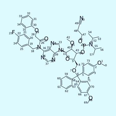 COc1ccc(C(OC[C@H]2O[C@@H](n3cnc4c(N(Cc5ccc(F)cc5)C(=O)COc5ccccc5)ncnc43)[C@@H](OC)C2OP(OCCC#N)N(C(C)C)C(C)C)(c2ccccc2)c2ccc(OC)cc2)cc1